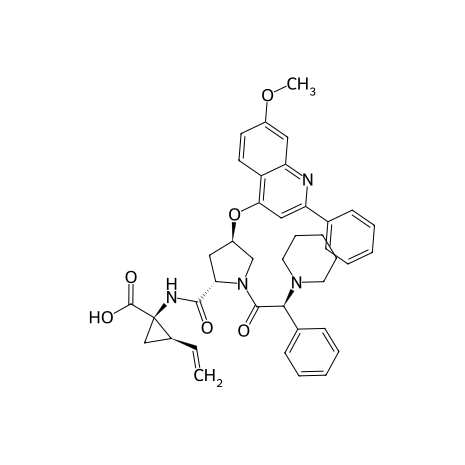 C=C[C@H]1C[C@]1(NC(=O)[C@@H]1C[C@@H](Oc2cc(-c3ccccc3)nc3cc(OC)ccc23)CN1C(=O)[C@H](c1ccccc1)N1CCCCC1)C(=O)O